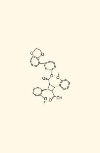 COc1ccccc1[C@@H]1C(C(=O)O)[C@@H](c2ccccc2OC)C1C(=O)Oc1cccc(-c2cccc3c2OCCO3)c1